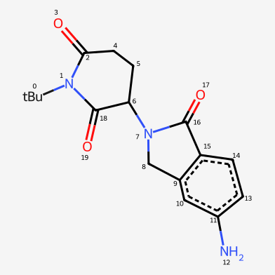 CC(C)(C)N1C(=O)CCC(N2Cc3cc(N)ccc3C2=O)C1=O